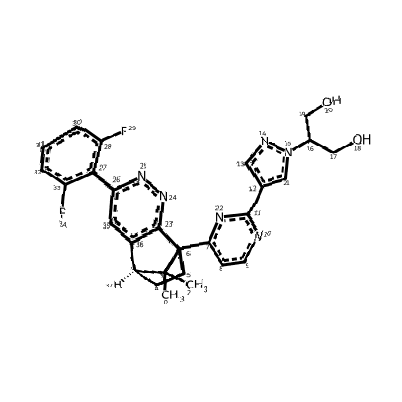 CC1(C)[C@H]2CCC1(c1ccnc(-c3cnn(C(CO)CO)c3)n1)c1nnc(-c3c(F)cccc3F)cc12